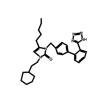 CCCCCc1cn(CCC2CCCCC2)c(=O)n1Cc1ccc(-c2ccccc2-c2nnn[nH]2)cc1